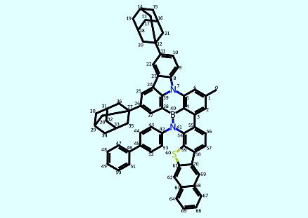 Cc1cc2c3c(c1)-n1c4ccc(C56CC7CC(CC(C7)C5)C6)cc4c4cc(C56CC7CC(CC(C7)C5)C6)cc(c41)B3N(c1ccc(-c3ccccc3)cc1)c1c-2ccc2c1sc1cc3ccccc3cc12